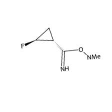 CNOC(=N)[C@H]1C[C@@H]1F